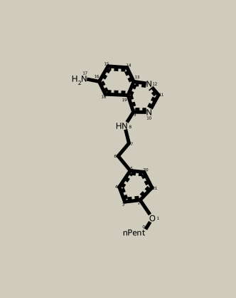 CCCCCOc1ccc(CCNc2ncnc3ccc(N)cc23)cc1